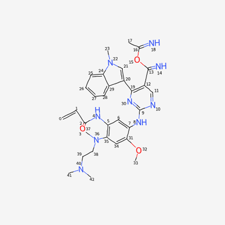 C=CC(=O)Nc1cc(Nc2ncc(C(=N)OC(C)=N)c(-c3cn(C)c4ccccc34)n2)c(OC)cc1N(C)CCN(C)C